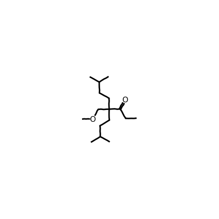 CCC(=O)C(CCC(C)C)(CCC(C)C)COC